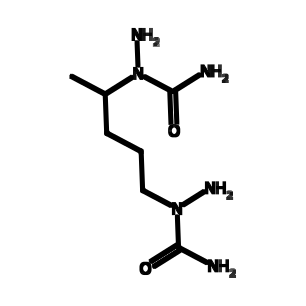 CC(CCCN(N)C(N)=O)N(N)C(N)=O